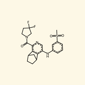 CS(=O)(=O)c1cccc(Nc2cnc(C(=O)N3CCC(F)(F)C3)c3c2C2CCC3C2)c1